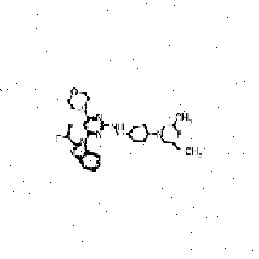 CCCCN(CC(C)F)[C@H]1CC[C@H](CNc2nc(N3CCOCC3)cc(-n3c(C(F)F)nc4ccccc43)n2)CC1